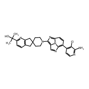 CC(C)(O)c1ccc2c(n1)CC1(CCN(c3nc4ccc(-c5ccnc(N)c5Cl)c5ncc3n45)CC1)C2